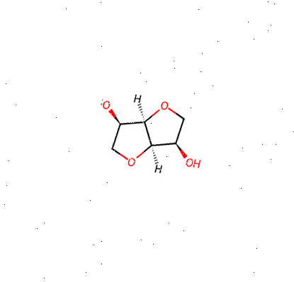 [O][C@@H]1CO[C@H]2[C@@H]1OC[C@H]2O